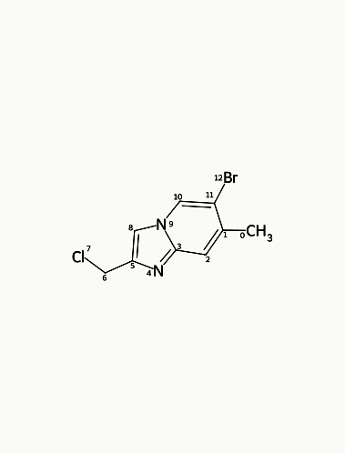 Cc1cc2nc(CCl)cn2cc1Br